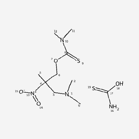 CN(C)CC(C)(COC(=S)N(C)C)[N+](=O)[O-].NC(O)=S